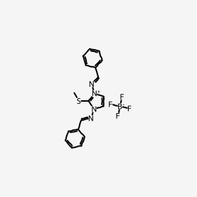 CSc1n(N=Cc2ccccc2)cc[n+]1N=Cc1ccccc1.F[B-](F)(F)F